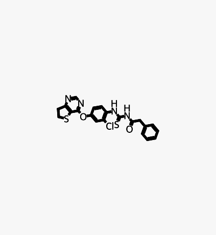 O=C(Cc1ccccc1)NC(=S)Nc1ccc(Oc2ncnc3c2SCC3)cc1Cl